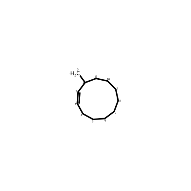 [CH2]C1/C=C\CCCCCCCC1